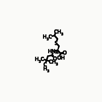 CC(C)CSC[C@H](NC(=O)CC(C)(C)C)C(=O)O